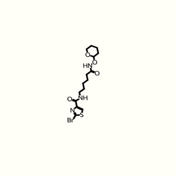 O=C(CCCCCNC(=O)c1csc(Br)n1)NOC1CCCCO1